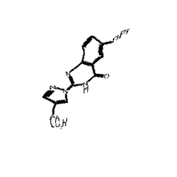 CCCC1=CC2C(=O)NC(n3cc(C(=O)O)cn3)=NC2C=C1